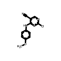 COc1ccc(Nc2nc(Cl)ncc2C#N)cc1